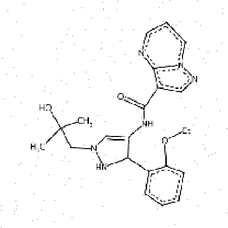 CCOc1ccccc1C1NN(CC(C)(C)O)C=C1NC(=O)c1cnn2cccnc12